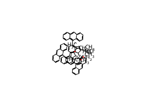 CC(C)C1=Cc2c(-c3c4ccccc4cc4ccccc34)ccc(-c3c4ccccc4cc4ccccc34)c2[CH]1[Zr]([CH3])([CH3])(=[SiH2])[CH]1C(C(C)C)=Cc2c(-c3c4ccccc4cc4ccccc34)ccc(-c3c4ccccc4cc4ccccc34)c21.Cl.Cl